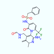 C=C1C(CNC=O)=C(n2c(C(F)(F)F)ccc(NS(=O)(=O)Cc3ccccc3)c2=O)C(N)=NC1C